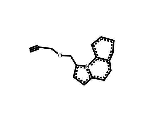 C#CCOCc1ccc2ccc3ccccc3n12